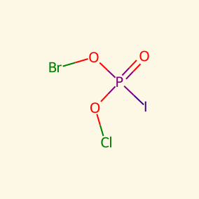 O=P(I)(OCl)OBr